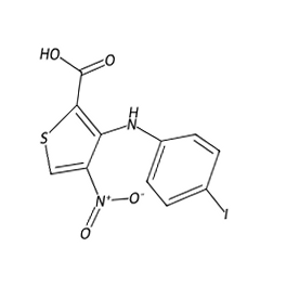 O=C(O)c1scc([N+](=O)[O-])c1Nc1ccc(I)cc1